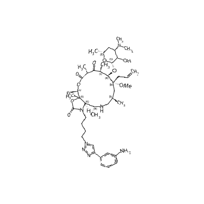 C=CC[C@@]1(OC)C[C@@H](C)CN[C@H](C)[C@H]2N(CCCCn3cc(-c4cccc(N)c4)nn3)C(=O)O[C@]2(C)[C@@H](CC)OC(=O)C(C)C(=O)[C@@H](C)[C@H]1O[C@@H]1O[C@H](C)CC(N(C)C)C1O